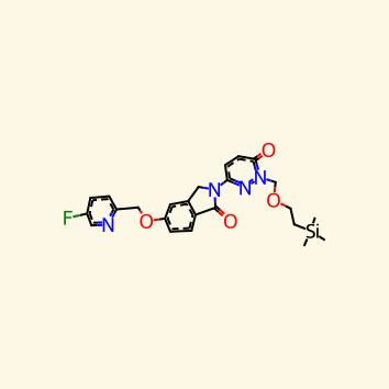 C[Si](C)(C)CCOCn1nc(N2Cc3cc(OCc4ccc(F)cn4)ccc3C2=O)ccc1=O